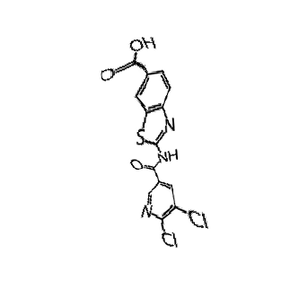 O=C(O)c1ccc2nc(NC(=O)c3cnc(Cl)c(Cl)c3)sc2c1